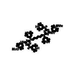 CON1C(C)(C)CC(Nc2nc(N(C)C3CC(C)(C)NC(C)(C)C3)nc(N(CCCCCCN(c3nc(NC4CC(C)(C)N(OC)C(C)(C)C4)nc(N(C)C4CC(C)(C)NC(C)(C)C4)n3)C3CC(C)(C)NC(C)(C)C3)C3CC(C)(C)NC(C)(C)C3)n2)CC1(C)C